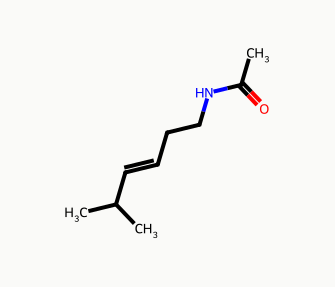 CC(=O)NCC/C=C/C(C)C